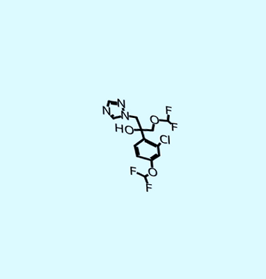 OC(COC(F)F)(Cn1cncn1)c1ccc(OC(F)F)cc1Cl